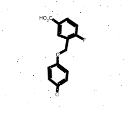 O=C(O)c1ccc(F)c(COc2ccc(Cl)cc2)c1